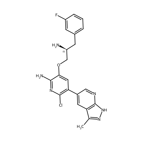 Cc1n[nH]c2ncc(-c3cc(OC[C@@H](N)Cc4cccc(F)c4)c(N)nc3Cl)cc12